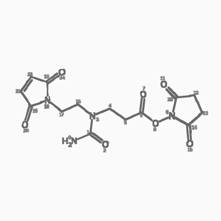 NC(=O)N(CCC(=O)ON1C(=O)CCC1=O)CCN1C(=O)C=CC1=O